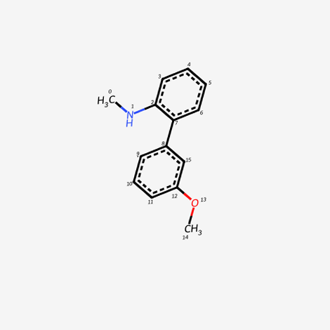 CNc1ccccc1-c1[c]ccc(OC)c1